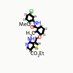 CCOC(=O)c1cnc(N)c2c(COc3cccc(C(=O)Nc4cc(Cl)ccc4OC)c3C)csc12